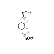 CCCCCCCC[C@H]1CCC2C(CCC3C[C@@H](CCCCCCCC)CCC32)C1